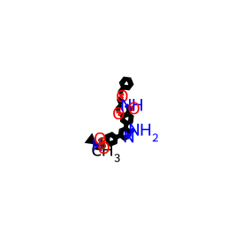 CN(C1CC1)S(=O)(=O)c1ccc(-c2cnc(N)c(-c3ccc4c(c3)OCC(COCc3ccccc3)NC4=O)c2)cc1